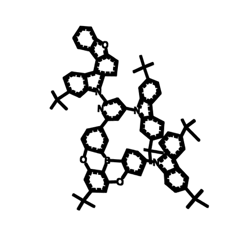 CC(C)(C)c1cc2c3c(c1)Oc1ccc(-c4cc(-n5c6cc(C(C)(C)C)ccc6c6ccc(C(C)(C)C)cc65)cc(-n5c6cc(C(C)(C)C)ccc6c6c7c(ccc65)oc5ccccc57)n4)cc1B3c1ccc(-n3c4ccc(C(C)(C)C)cc4c4cc(C(C)(C)C)ccc43)cc1O2